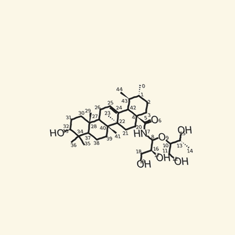 C[C@@H]1CC[C@]2(C(=O)NC(OC(CO)[C@@H](C)O)[C@@H](O)CO)CC[C@]3(C)C(=CCC4[C@@]5(C)CC[C@H](O)C(C)(C)C5CC[C@]43C)C2[C@H]1C